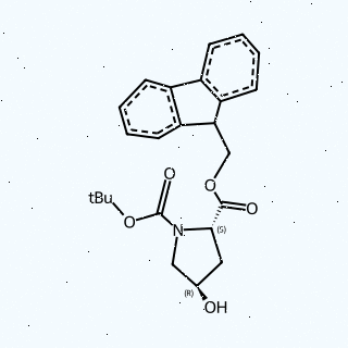 CC(C)(C)OC(=O)N1C[C@H](O)C[C@H]1C(=O)OCC1c2ccccc2-c2ccccc21